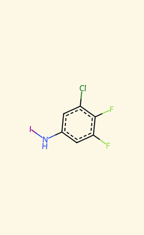 Fc1cc(NI)cc(Cl)c1F